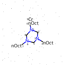 CCCCCCCCN1CN(CCCCCCCC)CN(CCCCCCCC)C1.[Cr]